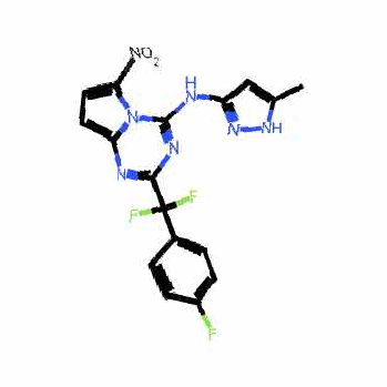 Cc1cc(Nc2nc(C(F)(F)c3ccc(F)cc3)nc3ccc([N+](=O)[O-])n23)n[nH]1